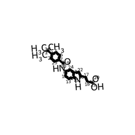 CC(C)(C)c1ccc(C(=O)Nc2ccc3[nH]c(/C=C/C(=O)O)cc3c2)cc1